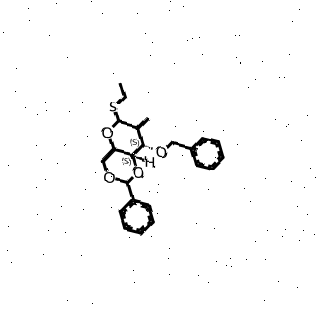 CCSC1OC2COC(c3ccccc3)O[C@H]2[C@@H](OCc2ccccc2)C1C